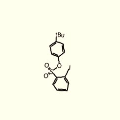 CC(C)(C)c1ccc(OS(=O)(=O)c2ccccc2I)cc1